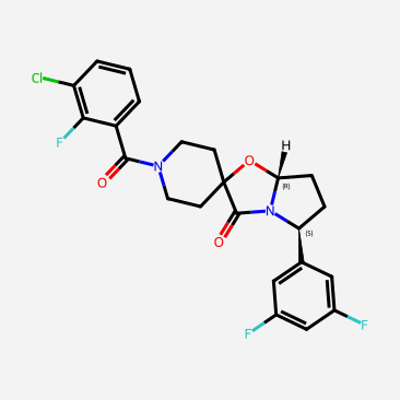 O=C(c1cccc(Cl)c1F)N1CCC2(CC1)O[C@@H]1CC[C@@H](c3cc(F)cc(F)c3)N1C2=O